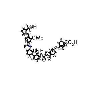 COc1cc(/C(F)=C/c2cccc(-c3cccc(NC(=O)c4nc5c(n4C)CCN(CCC46CCC(C(=O)O)(CC4)C6)C5)c3Cl)c2Cl)ncc1CN1CCCC1C(C)(C)O